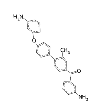 Cc1cc(C(=O)c2cccc(N)c2)ccc1-c1ccc(Oc2cccc(N)c2)cc1